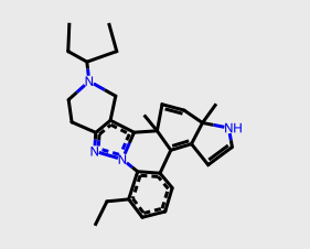 CCc1cccc2c1-n1nc3c(c1C1(C)C=CC4(C)NC=CC4=C21)CN(C(CC)CC)CC3